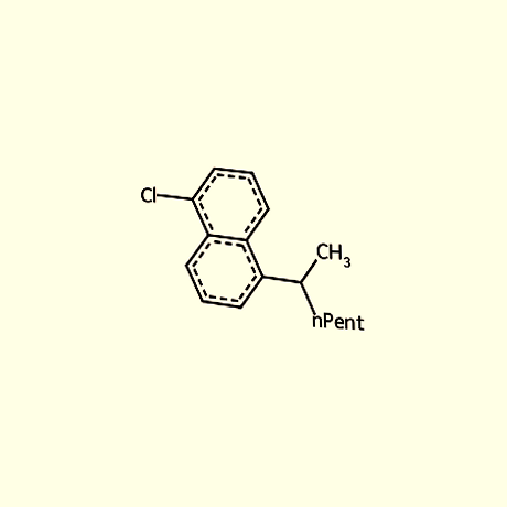 [CH2]CCCCC(C)c1cccc2c(Cl)cccc12